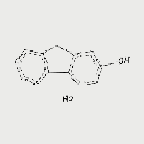 Oc1ccc2c(c1)Cc1ccccc1-2.[Nb]